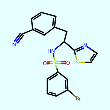 N#Cc1cccc(CC(NS(=O)(=O)c2cccc(Br)c2)c2nccs2)c1